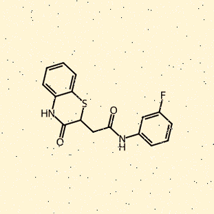 O=C(CC1Sc2ccccc2NC1=O)Nc1cccc(F)c1